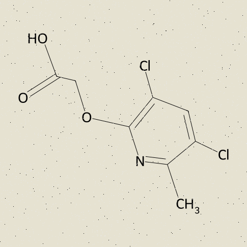 Cc1nc(OCC(=O)O)c(Cl)cc1Cl